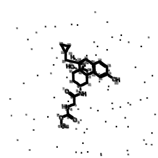 CC(C)(C)OC(=O)NCC(=O)N[C@@H]1CC[C@@]2(O)[C@H]3Cc4ccc(O)cc4[C@@]2(CCN3CC2CC2)C1